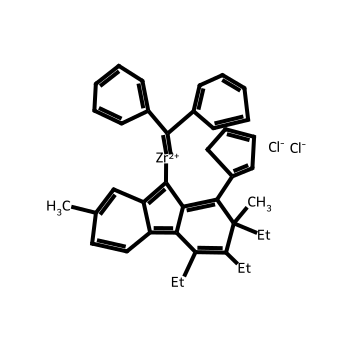 CCC1=C(CC)C(C)(CC)C(C2=CC=CC2)=C2[C]([Zr+2]=[C](c3ccccc3)c3ccccc3)=c3cc(C)ccc3=C12.[Cl-].[Cl-]